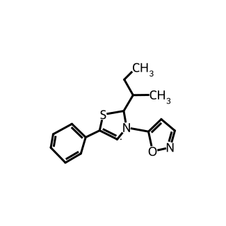 CCC(C)C1SC(c2ccccc2)=[C]N1c1ccno1